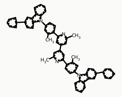 Cc1cc(-c2cc(C)nc(-c3ccc(-n4c5ccccc5c5cc(-c6ccccc6)ccc54)cc3C)c2)cc(-c2ccc(-n3c4ccccc4c4cc(-c5ccccc5)ccc43)cc2C)n1